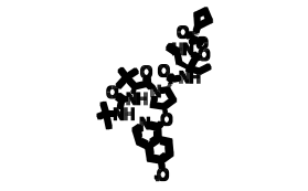 C=CC[C@@](CC)(NC(=O)[C@@H]1C[C@@H](Oc2nccc3cc(OC)ccc23)CN1C(=O)[C@@H](NC(=O)NC(C)(C)C)C(C)(C)C)C(=O)NS(=O)(=O)C1CCC1